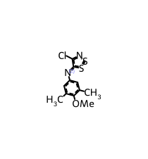 COc1c(C)cc(/N=c2\ssnc2Cl)cc1C